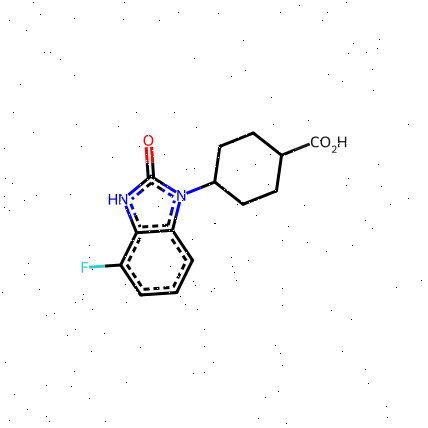 O=C(O)C1CCC(n2c(=O)[nH]c3c(F)cccc32)CC1